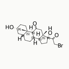 C[C@]12CC[C@@H](O)C[C@H]1CC[C@@H]1[C@@H]2C(=O)C[C@@]2(C)[C@H]1CC[C@]2(O)C(=O)CBr